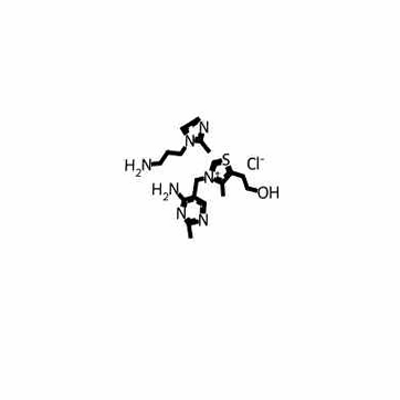 Cc1ncc(C[n+]2csc(CCO)c2C)c(N)n1.Cc1nccn1CCCN.[Cl-]